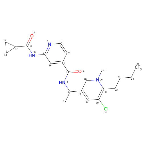 CC(NC(=O)c1ccnc(NC(=O)C2CC2)c1)C1=CC(Cl)=C(CCCC(F)(F)F)N(C)C1